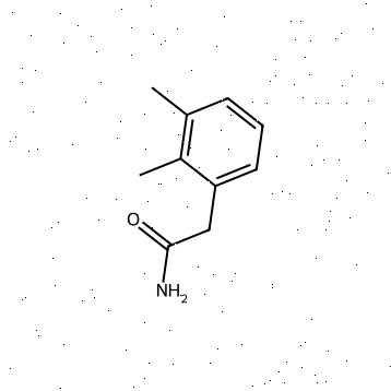 Cc1cccc(CC(N)=O)c1C